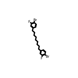 Fc1cc(CCCCCCCCCc2ccc(Br)c(F)c2)ccc1Br